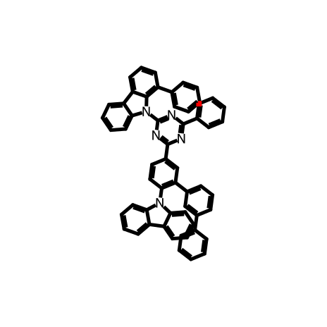 c1ccc(-c2cccc(-c3cc(-c4nc(-c5ccccc5)nc(-n5c6ccccc6c6cccc(-c7ccccc7)c65)n4)ccc3-n3c4ccccc4c4ccccc43)c2)cc1